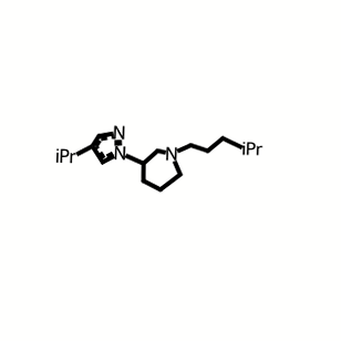 CC(C)CCCN1CCCC(n2cc(C(C)C)cn2)C1